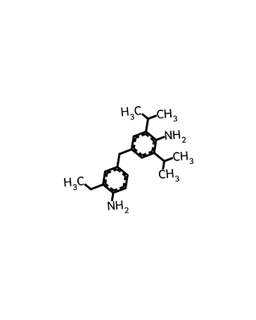 CCc1cc(Cc2cc(C(C)C)c(N)c(C(C)C)c2)ccc1N